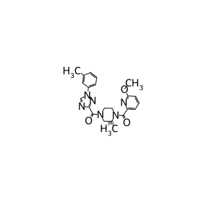 COc1cccc(C(=O)N2CCN(C(=O)c3ncn(-c4cccc(C)c4)n3)C[C@H]2C)n1